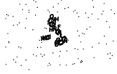 Cl.Cl.O=C1CSc2ccc(CN[C@@H]3CCN(CCc4ccnc5ccc6c(c45)OCCO6)C[C@@H]3F)nc2N1